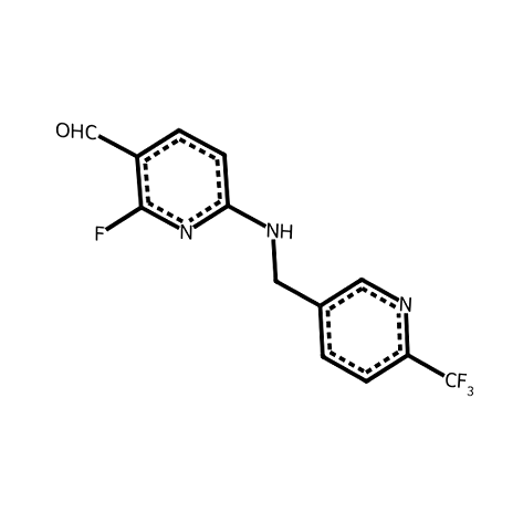 O=Cc1ccc(NCc2ccc(C(F)(F)F)nc2)nc1F